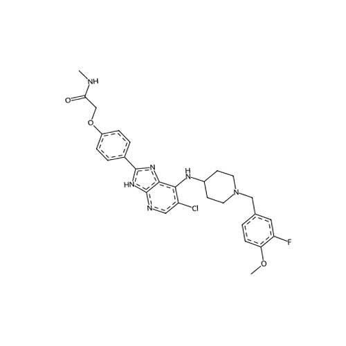 CNC(=O)COc1ccc(-c2nc3c(NC4CCN(Cc5ccc(OC)c(F)c5)CC4)c(Cl)cnc3[nH]2)cc1